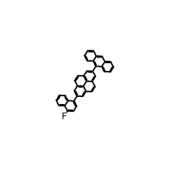 Fc1ccc(-c2cc3ccc4cc(-c5c6ccccc6cc6ccccc56)cc5ccc(c2)c3c45)c2ccccc12